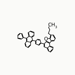 CCCCc1cccc2c1oc1c(-c3ccc(-c4c5ccccc5c(-c5ccccc5)c5ccccc45)cc3)cc3ccccc3c12